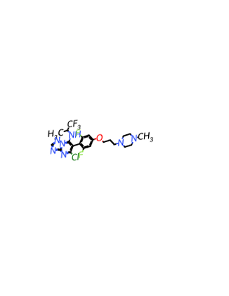 CC(Nc1c(-c2c(F)cc(OCCCN3CCN(C)CC3)cc2F)c(Cl)nc2ncnn12)C(F)(F)F